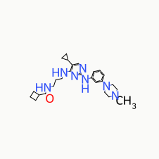 CN1CCN(c2cccc(Nc3ncc(C4CC4)c(NCCCNC(=O)C4CCC4)n3)c2)CC1